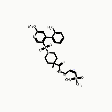 COc1cc(-c2ccccc2C)c(S(=O)(=O)N2CCC(F)(C(=O)N[C@@H](C)/C=C\S(C)(=O)=O)CC2)cn1